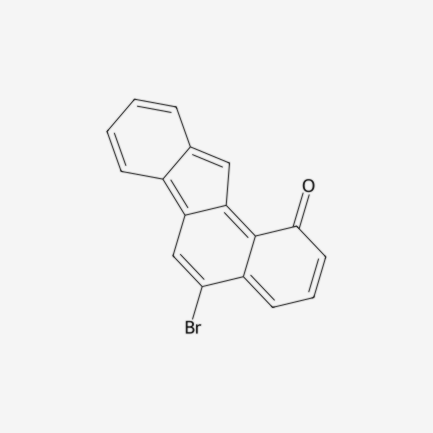 O=C1C=CC=c2c(Br)cc3c(c21)C=c1ccccc1=3